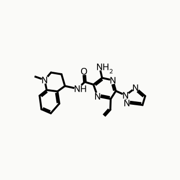 C=Cc1nc(C(=O)NC2CCN(C)c3ccccc32)c(N)nc1-n1nccn1